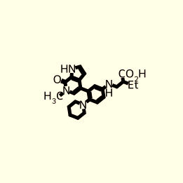 CCC(CNc1ccc(N2CCCCC2)c(-c2cn(C)c(=O)c3[nH]ccc23)c1)C(=O)O